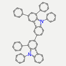 c1ccc(-c2cc(-c3ccccc3)c3c(c2)c2cc(-c4cc(-c5ccccc5)c5c(c4)c4ccccc4n5-c4ccccc4)ccc2n3-c2ccccc2)cc1